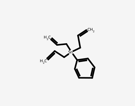 C=C[CH2][Sn]([CH2]C=C)([CH2]C=C)[c]1ccccc1